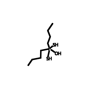 CCCCP(O)(S)(S)CCCC